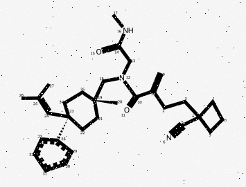 C=C(CCC1(C#N)CCC1)C(=O)N(CC(=O)NC)C[C@]1(C)CC[C@](C=C(C)C)(c2ccccc2)CC1